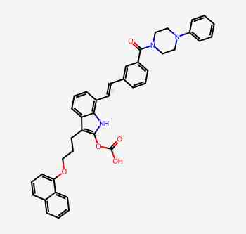 O=C(O)Oc1[nH]c2c(/C=C/c3cccc(C(=O)N4CCN(c5ccccc5)CC4)c3)cccc2c1CCCOc1cccc2ccccc12